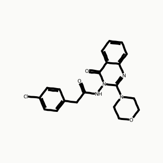 O=C(Cc1ccc(Cl)cc1)Nn1c(N2CCOCC2)nc2ccccc2c1=O